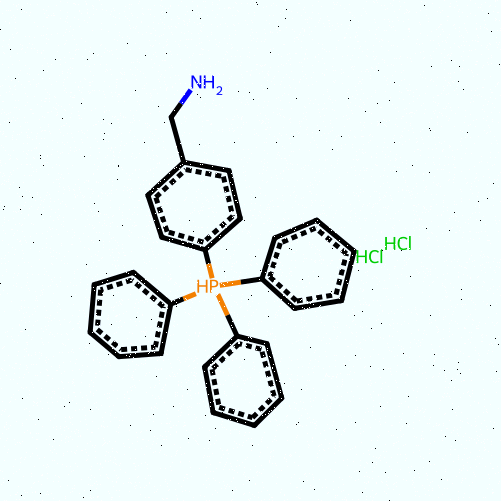 Cl.Cl.NCc1ccc([PH](c2ccccc2)(c2ccccc2)c2ccccc2)cc1